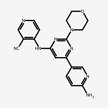 N#Cc1cnccc1Nc1cc(-c2ccc(N)nc2)nc(N2CCOCC2)n1